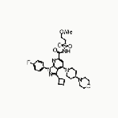 COCCS(=O)(=O)NC(=O)c1cc(N2CCC(N3CCOCC3)CC2)c2c(C3CCC3)nn(-c3ccc(F)cc3)c2n1